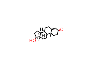 C[C@]12CCC(=O)C=C1CC[C@@H]1C2=CC[C@]2(C)[C@H](O)CC[C@@H]12